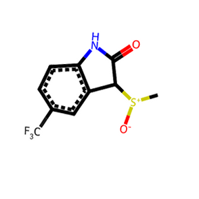 C[S+]([O-])C1C(=O)Nc2ccc(C(F)(F)F)cc21